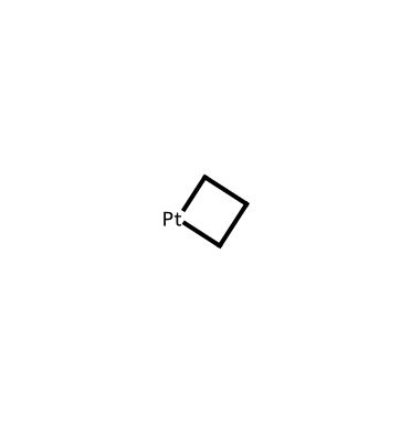 C1[CH2][Pt][CH2]1